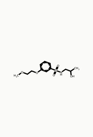 COCCOc1cccc(S(=O)(=O)NCC(C)O)c1